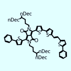 CCCCCCCCCCC(CCCCCCCCCC)CCCN1C(=O)C2=C(c3ccc(-c4ccc(/C=C/c5ccc(-c6ccccc6)s5)s4)s3)N(CCCC(CCCCCCCCCC)CCCCCCCCCC)C(=O)C2=C1c1ccc(-c2ccccc2)s1